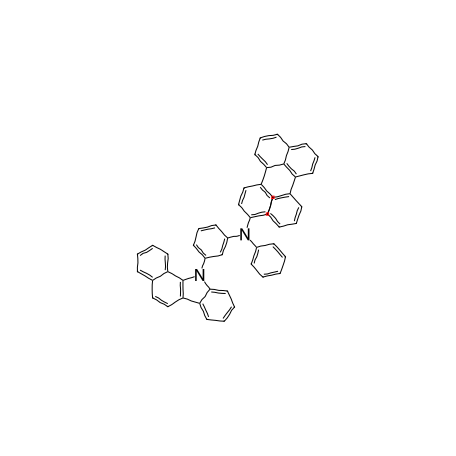 c1ccc(-c2cccc3cccc(-c4ccc(N(c5ccccc5)c5cccc(-n6c7ccccc7c7ccc8ccccc8c76)c5)cc4)c23)cc1